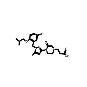 Cc1cc(N2CCN(CCC(N)=O)CC2=O)nn1Cc1cc(Cl)ccc1OCC(C)C